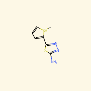 [CH2][SH]1C=CC=C1c1nnc(N)s1